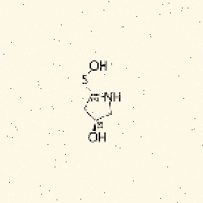 OS[C@H]1C[C@H](O)CN1